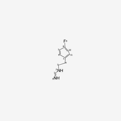 N=CNCCc1ccc(F)cc1